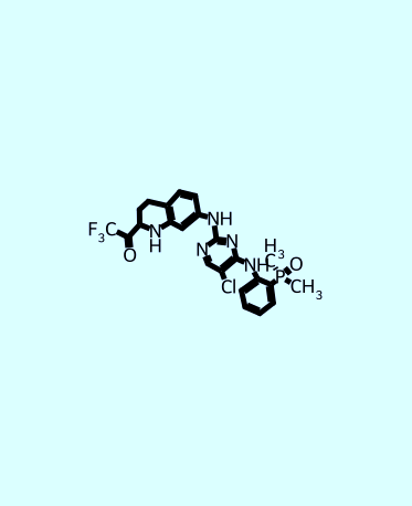 CP(C)(=O)c1ccccc1Nc1nc(Nc2ccc3c(c2)NC(C(=O)C(F)(F)F)CC3)ncc1Cl